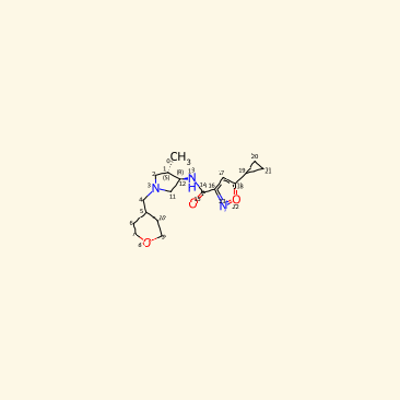 C[C@H]1CN(CC2CCOCC2)C[C@@H]1NC(=O)c1cc(C2CC2)on1